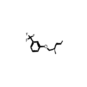 C/C=C/[C@@H](C)COc1cccc(C(F)(F)F)c1